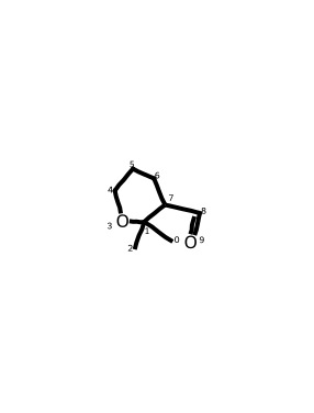 CC1(C)OCCCC1C=O